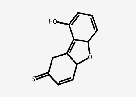 OC1=CC=CC2OC3C=CC(=S)CC3=C12